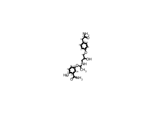 CC(NCC(O)COc1ccc(CC(N)=O)cc1)Oc1ccc(O)c(C(N)=O)c1